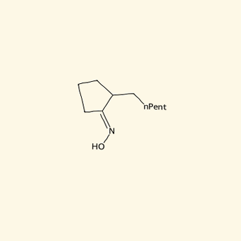 CCCCCCC1CCCC1=NO